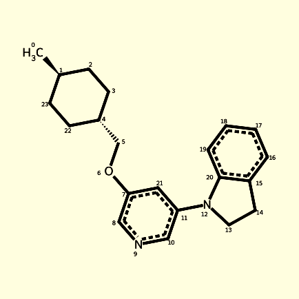 C[C@H]1CC[C@H](COc2cncc(N3CCc4ccccc43)c2)CC1